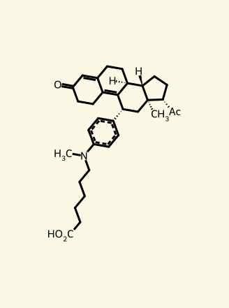 CC(=O)[C@H]1CC[C@H]2[C@@H]3CCC4=CC(=O)CCC4=C3[C@@H](c3ccc(N(C)CCCCCC(=O)O)cc3)C[C@]12C